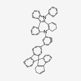 c1cc(-c2ccc3c(c2)C2(C4=C(C=CCC4)c4ccccc42)c2ccccc2-3)cc(N2C3=C(C=CCC3)c3c(c4ccccc4n3-c3ccccc3)-c3ccccc32)c#1